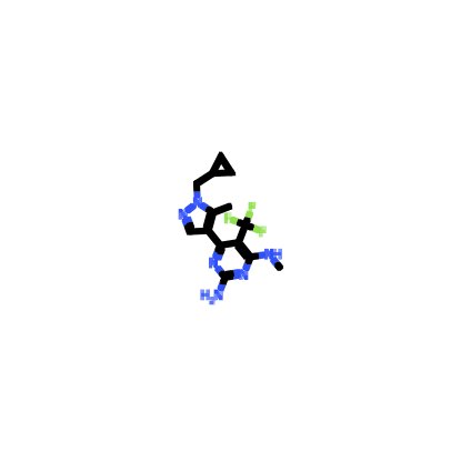 CNc1nc(N)nc(-c2cnn(CC3CC3)c2C)c1C(F)(F)F